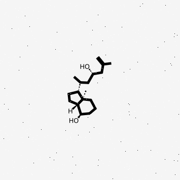 C=C(C)C[C@@H](O)CC(C)[C@H]1CC[C@H]2[C@H](O)CCC[C@]12C